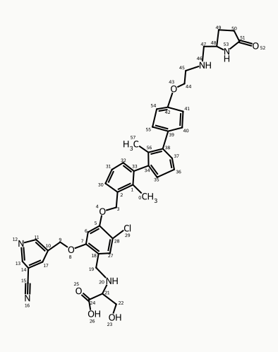 Cc1c(COc2cc(OCc3cncc(C#N)c3)c(CNC(CO)C(=O)O)cc2Cl)cccc1-c1cccc(-c2ccc(OCCNCC3CCC(=O)N3)cc2)c1C